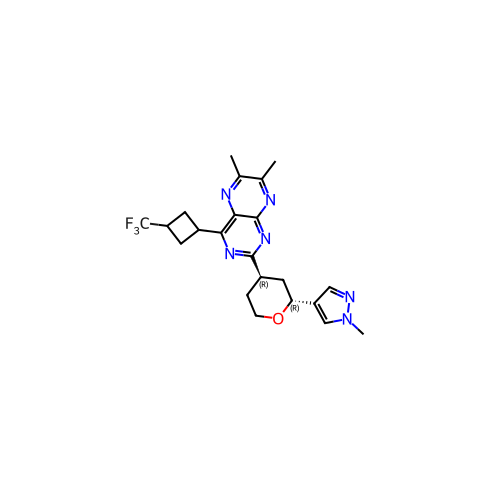 Cc1nc2nc([C@@H]3CCO[C@@H](c4cnn(C)c4)C3)nc(C3CC(C(F)(F)F)C3)c2nc1C